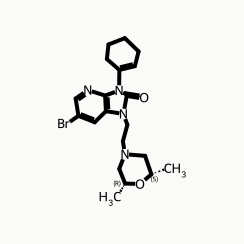 C[C@@H]1CN(CCn2c(=O)n(C3=CCCCC3)c3ncc(Br)cc32)C[C@H](C)O1